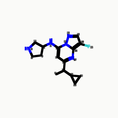 CC(c1cc(NC2CCNC2)n2ncc(F)c2n1)C1CC1